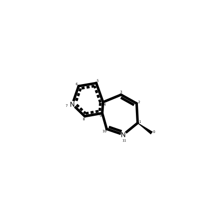 C[C@@H]1C=Cc2ccncc2C=N1